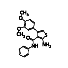 COc1ccc(-c2csc(N)c2C(=O)Nc2ccccc2)cc1OC